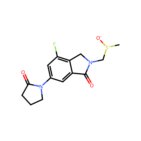 C[S+]([O-])CN1Cc2c(F)cc(N3CCCC3=O)cc2C1=O